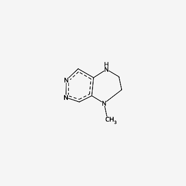 CN1CCNc2cnncc21